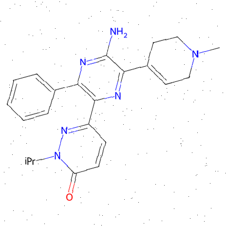 CC(C)n1nc(-c2nc(C3=CCN(C)CC3)c(N)nc2-c2ccccc2)ccc1=O